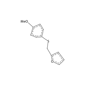 COc1ccc(SCc2ccco2)cc1